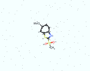 COc1ccc2nc(S(C)(=O)=O)sc2c1